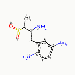 CC(C(N)Cc1cc(N)ccc1N)[SH](=O)=O